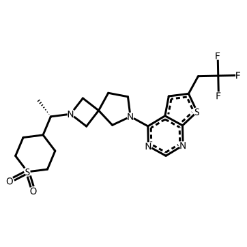 C[C@@H](C1CCS(=O)(=O)CC1)N1CC2(CCN(c3ncnc4sc(CC(F)(F)F)cc34)C2)C1